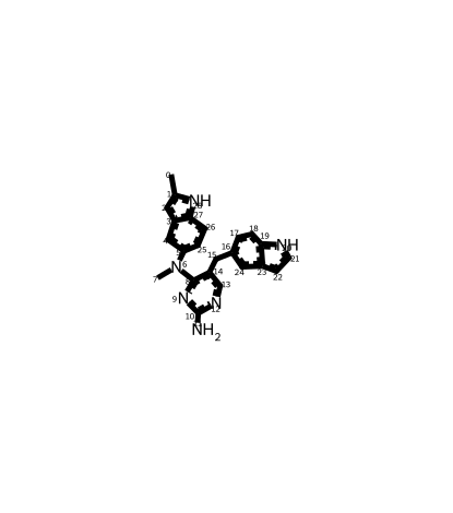 Cc1cc2cc(N(C)c3nc(N)ncc3Cc3ccc4[nH]ccc4c3)ccc2[nH]1